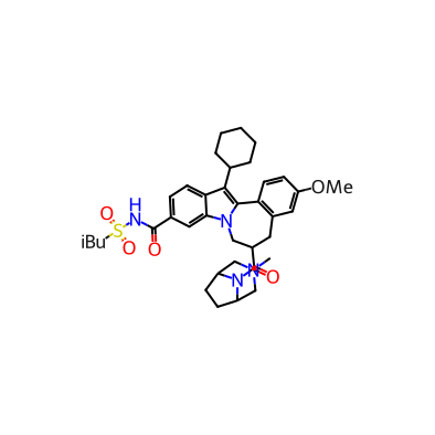 CCC(C)S(=O)(=O)NC(=O)c1ccc2c(C3CCCCC3)c3n(c2c1)CC(C(=O)N1C2CCC1CN(C)C2)Cc1cc(OC)ccc1-3